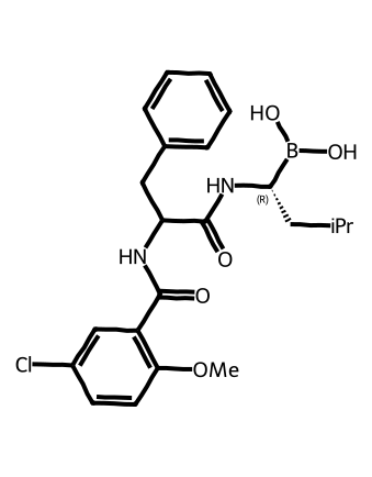 COc1ccc(Cl)cc1C(=O)NC(Cc1ccccc1)C(=O)N[C@@H](CC(C)C)B(O)O